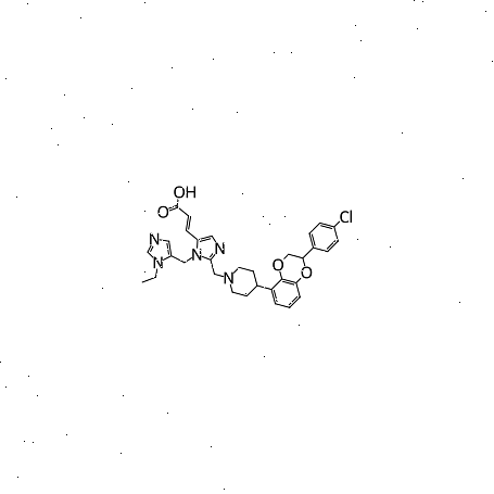 CCn1cncc1Cn1c(/C=C/C(=O)O)cnc1CN1CCC(c2cccc3c2OCC(c2ccc(Cl)cc2)O3)CC1